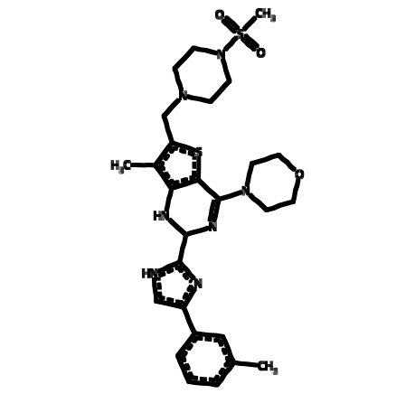 Cc1cccc(-c2c[nH]c(C3N=C(N4CCOCC4)c4sc(CN5CCN(S(C)(=O)=O)CC5)c(C)c4N3)n2)c1